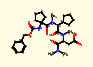 CN(C)C(=O)[C@H](CC(=O)O)N(C)C(=O)[C@H](C1CCCC1)N(C)C(=O)C1(NC(=O)OCc2ccccc2)CCCC1